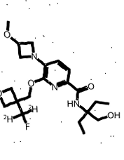 [2H]C([2H])(F)C1(COc2nc(C(=O)NC(CC)(CC)CO)ccc2N2CC(OC)C2)COC1